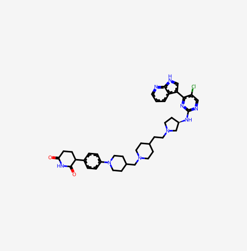 O=C1CCC(c2ccc(N3CCC(CN4CCC(CCN5CC[C@@H](Nc6ncc(Cl)c(-c7c[nH]c8ncccc78)n6)C5)CC4)CC3)cc2)C(=O)N1